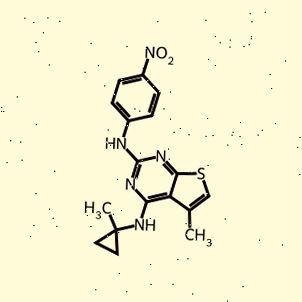 Cc1csc2nc(Nc3ccc([N+](=O)[O-])cc3)nc(NC3(C)CC3)c12